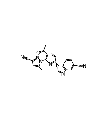 CC(=O)c1ccc(-n2cnc3cc(C#N)ccc32)nc1-n1nc(C#N)cc1C